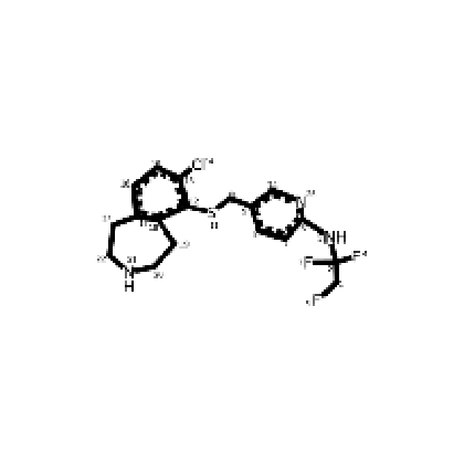 FCC(F)(F)Nc1ccc(CSc2c(Cl)ccc3c2CCNCC3)cn1